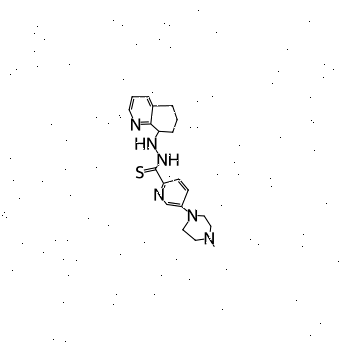 CN1CCN(c2ccc(C(=S)NNC3CCCc4cccnc43)nc2)CC1